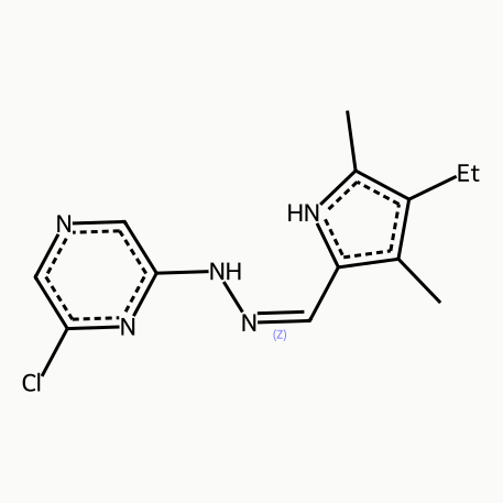 CCc1c(C)[nH]c(/C=N\Nc2cncc(Cl)n2)c1C